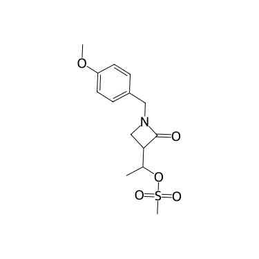 COc1ccc(CN2CC(C(C)OS(C)(=O)=O)C2=O)cc1